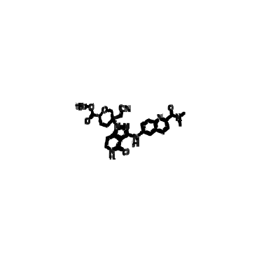 CN(C)C(=O)c1ccc2cc(Nc3nn([C@]4(CC#N)CC[C@@H](C(=O)OC(C)(C)C)OC4)c4cc[nH]c(=O)c34)ccc2n1